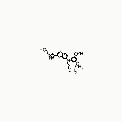 CCCCN(c1cc(OC)cc(OC)c1)c1ccc2ncc(-c3cnn(CCO)c3)nc2c1